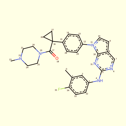 Cc1cc(Nc2ncc3ccn(-c4ccc(C5(C(=O)N6CCN(C)CC6)CC5)cc4)c3n2)ccc1F